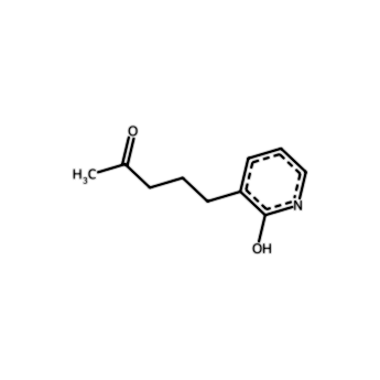 CC(=O)CCCc1cccnc1O